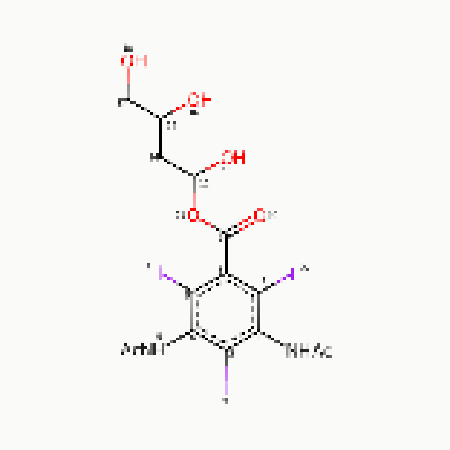 CC(=O)Nc1c(I)c(NC(C)=O)c(I)c(C(=O)OC(O)CC(O)CO)c1I